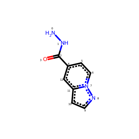 NNC(=O)c1ccn2nccc2c1